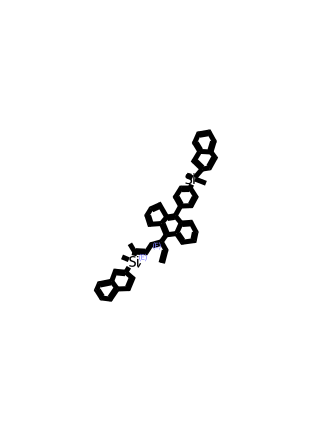 C=C/C(=C\C=C(/C)[Si](C)(C)c1ccc2ccccc2c1)c1c2ccccc2c(-c2ccc([Si](C)(C)c3ccc4ccccc4c3)cc2)c2ccccc12